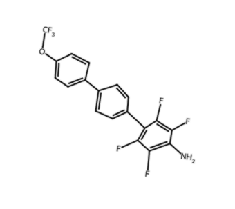 Nc1c(F)c(F)c(-c2ccc(-c3ccc(OC(F)(F)F)cc3)cc2)c(F)c1F